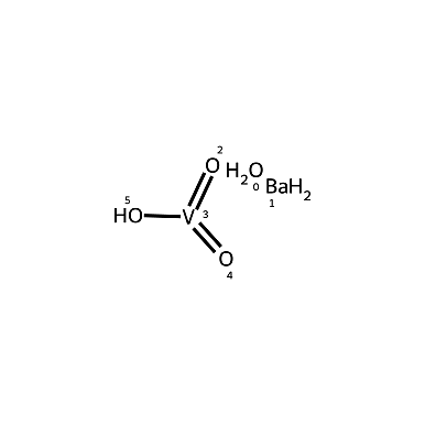 O.[BaH2].[O]=[V](=[O])[OH]